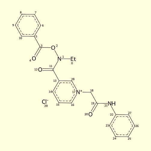 CCN(OC(=O)c1ccccc1)C(=O)c1ccc[n+](CC(=O)Nc2ccccc2)c1.[Cl-]